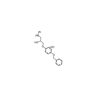 CC(C)NCC(O)COc1ccc(OCc2ccccc2)cc1.Cl